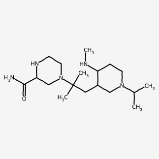 CNC1CCN(C(C)C)CC1CC(C)(C)N1CCNC(C(N)=O)C1